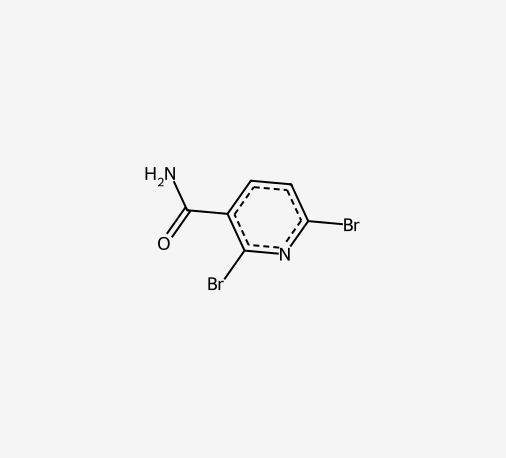 NC(=O)c1ccc(Br)nc1Br